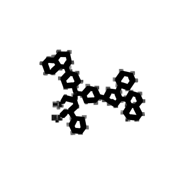 C=C/C(=C\C(=C/C)N(c1ccc(-c2ccc(-c3cccc4ccccc34)c(-c3ccccc3)c2)cc1)c1ccc(-c2cccc3ccccc23)cc1)c1ccccc1